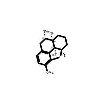 CN[C@H]1Cc2ccc(OC)c3c2[C@]2(C)[C@@H](CCC[C@]12O)O3